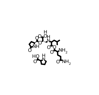 CC(C)CC(NC[C@H](OC(=O)[C@@H]1CCC(=O)N1)C(=O)O)C(=O)OC(=O)C(N)CCC(N)=O.O=C(O)C1CCCN1